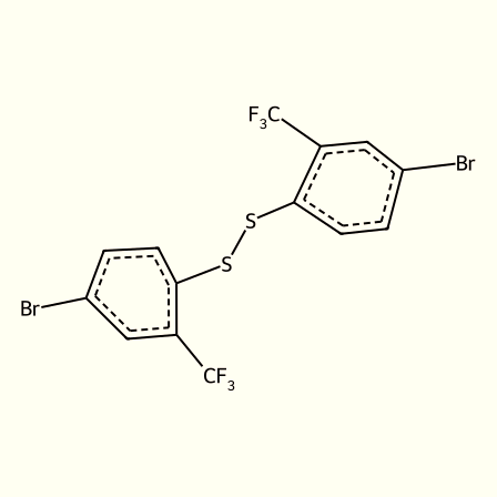 FC(F)(F)c1cc(Br)ccc1SSc1ccc(Br)cc1C(F)(F)F